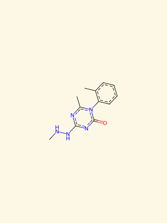 CNNc1nc(C)n(-c2ccccc2C)c(=O)n1